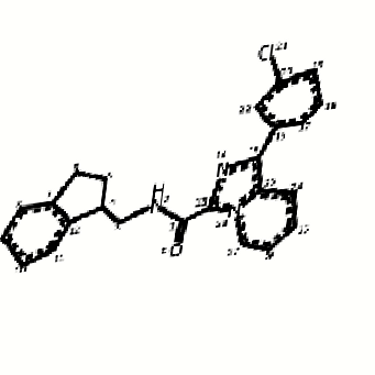 O=C(NCC1CCc2ccccc21)c1nc(-c2cccc(Cl)c2)c2ccccn12